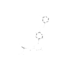 CCc1ccc(Cl)c(COc2ccc(C3CN(CCC(=O)OC(C)(C)C)CCO3)cc2)c1